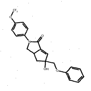 O=C1C2=CC(O)(COc3ccccc3)CC2CN1c1ccc(OC(F)(F)F)cc1